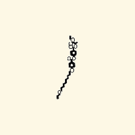 C=CCOCCCCCCCCCCOc1ccc(C(=O)Oc2ccc(C(=O)OC(C)C(=O)OCC)cc2)cc1